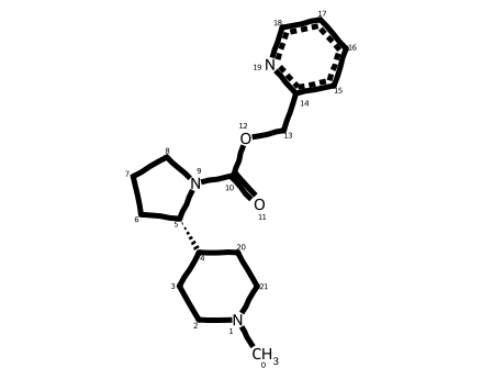 CN1CCC([C@@H]2CCCN2C(=O)OCc2ccccn2)CC1